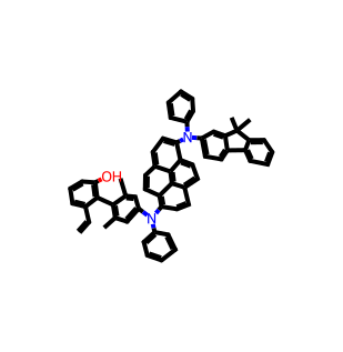 C=Cc1cccc(O)c1-c1c(C)cc(N(c2ccccc2)c2ccc3ccc4c(N(c5ccccc5)c5ccc6c(c5)C(C)(C)c5ccccc5-6)ccc5ccc2c3c54)cc1C